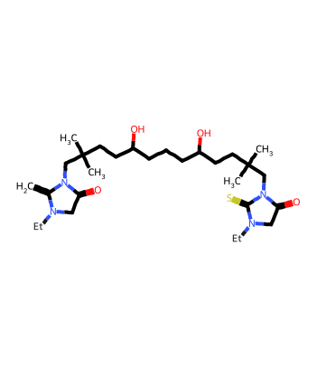 C=C1N(CC)CC(=O)N1CC(C)(C)CCC(O)CCCC(O)CCC(C)(C)CN1C(=O)CN(CC)C1=S